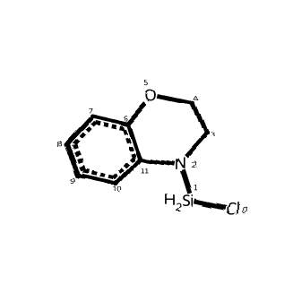 Cl[SiH2]N1CCOc2ccccc21